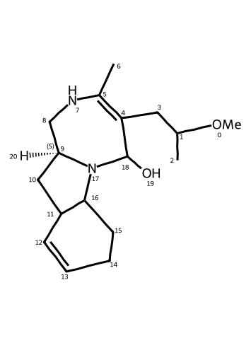 COC(C)CC1=C(C)NC[C@@H]2CC3C=CCCC3N2C1O